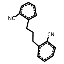 N#Cc1ccccc1CCCc1ccccc1C#N